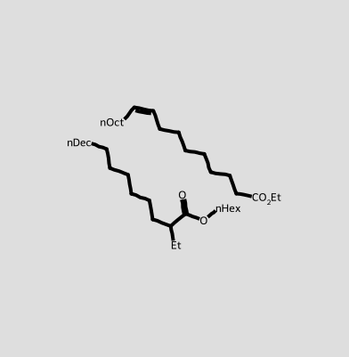 CCCCCCCC/C=C\CCCCCCCC(=O)OCC.CCCCCCCCCCCCCCCCC(CC)C(=O)OCCCCCC